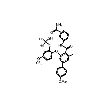 COc1ccc(-c2cc(F)c(C(=O)Nc3ccnc(C(N)=O)c3)c(Oc3ccc(OC(F)(F)F)cc3OC(S)(S)S)c2)cc1